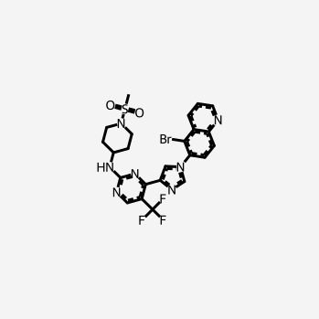 CS(=O)(=O)N1CCC(Nc2ncc(C(F)(F)F)c(-c3cn(-c4ccc5ncccc5c4Br)cn3)n2)CC1